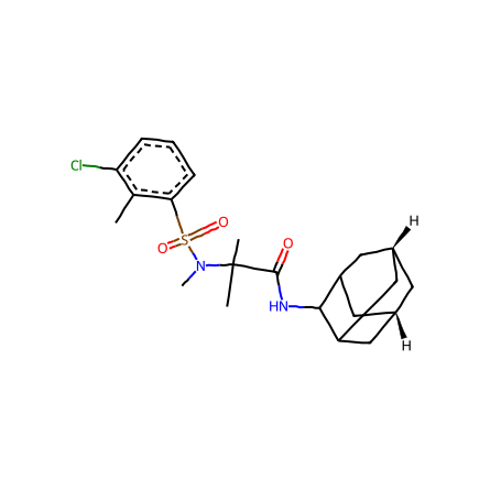 Cc1c(Cl)cccc1S(=O)(=O)N(C)C(C)(C)C(=O)NC1C2C[C@H]3CC1C[C@H](C2)C3